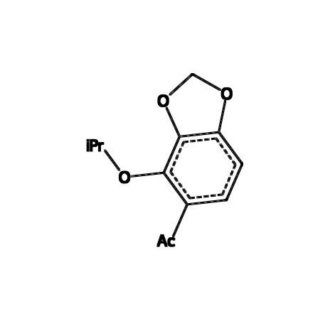 CC(=O)c1ccc2c(c1OC(C)C)OCO2